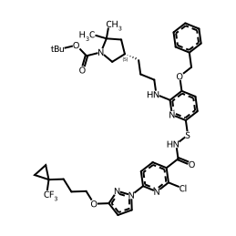 CC(C)(C)OC(=O)N1C[C@@H](CCCNc2nc(SNC(=O)c3ccc(-n4ccc(OCCCC5(C(F)(F)F)CC5)n4)nc3Cl)ccc2OCc2ccccc2)CC1(C)C